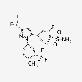 Cc1ccc(-n2nc(C(F)F)cc2-c2ccc(S(N)(=O)=O)c(F)c2)cc1C(F)(F)F